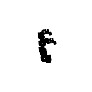 COc1cc(-c2cn(Cc3cccc4cccnc34)nn2)ccc1-n1cnc(C)c1